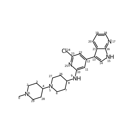 CN1CCC(N2CCC(Nc3cc(-c4c[nH]c5ncccc45)cc(Cl)n3)CC2)CC1